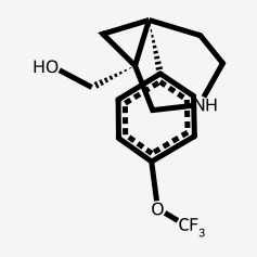 OC[C@@]12CNCC[C@]1(c1ccc(OC(F)(F)F)cc1)C2